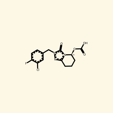 O=C(O)O[C@H]1CCCc2nn(Cc3ccc(F)c(Cl)c3)c(=O)n21